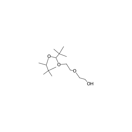 CC(OC(OCCOCCO)C(C)(C)C)C(C)(C)C